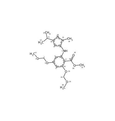 COCOc1cc(Nc2cc(C(C)C)nn2C)c(C(=O)OC)c(OCOC)c1